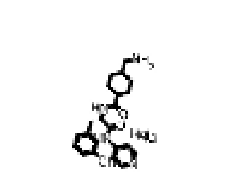 Cl.Cl.NCC1CCC(C(=O)N[C@@H](Cc2cccc(O)c2)C(=O)Nc2ccncc2)CC1